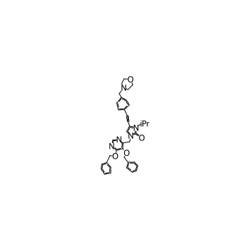 CC(C)n1c(C#Cc2ccc(CN3CCOCC3)cc2)cn(Cc2ncnc(OCc3ccccc3)c2OCc2ccccc2)c1=O